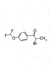 CC(Br)C(=O)c1ccc(OC(F)F)cc1